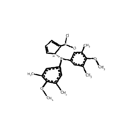 COc1c(C)cc(P(c2cc(C)c(OC)c(C)c2)[C@@H]2C=CC=C2P(Cl)Cl)cc1C